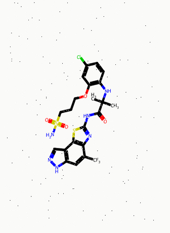 CC(C)(Nc1ccc(Cl)cc1OCCCS(N)(=O)=O)C(=O)Nc1nc2c(C(F)(F)F)cc3[nH]ncc3c2s1